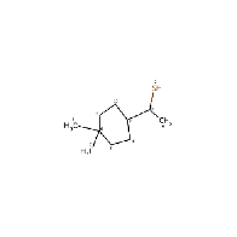 CC(S)C1CCC(C)(C)CC1